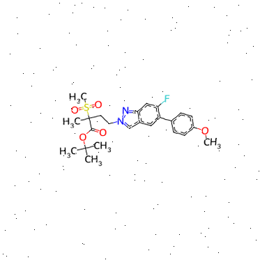 COc1ccc(-c2cc3cn(CCC(C)(C(=O)OC(C)(C)C)S(C)(=O)=O)nc3cc2F)cc1